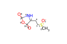 C[S+]([O-])CCC1NC(=O)OC1=O